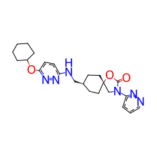 O=C1O[C@]2(CC[C@H](CNc3ccc(OC4CCCCC4)nn3)CC2)CN1c1cccnn1